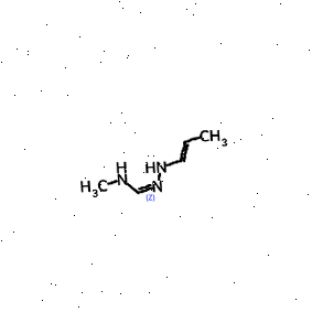 CC=CN/N=C\NC